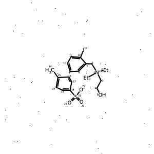 CC[N+](CC)(CCO)Cc1ccccc1I.Cc1ccc(S(=O)(=O)[O-])cc1